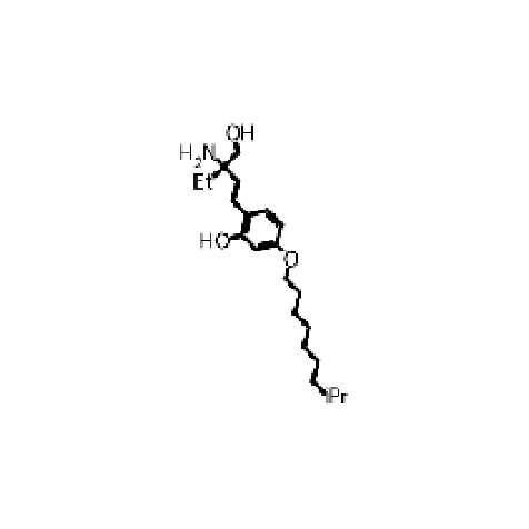 CCC(N)(CO)CCc1ccc(OCCCCCCCC(C)C)cc1O